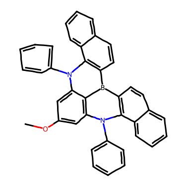 COc1cc2c3c(c1)N(c1ccccc1)c1c(ccc4ccccc14)B3c1ccc3ccccc3c1N2c1ccccc1